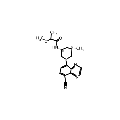 COC(C)C(=O)N[C@@H]1C[C@H](C)CN(c2ccc(C#N)c3nccnc23)C1